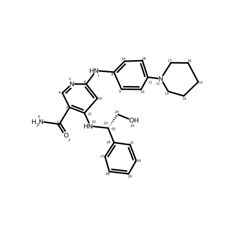 NC(=O)c1cnc(Nc2ccc(N3CCCCC3)cc2)cc1N[C@H](CO)c1ccccc1